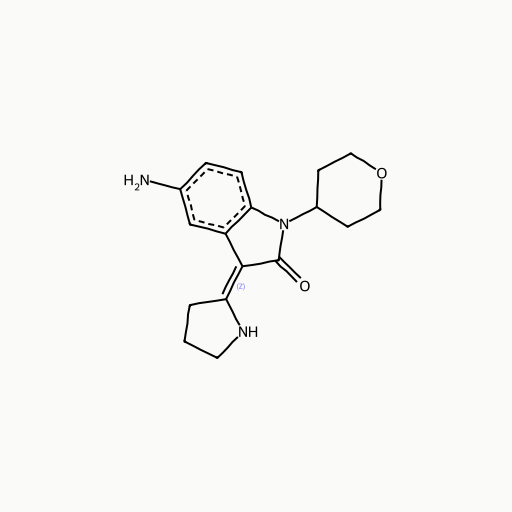 Nc1ccc2c(c1)/C(=C1\CCCN1)C(=O)N2C1CCOCC1